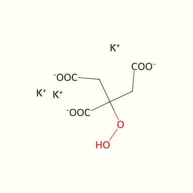 O=C([O-])CC(CC(=O)[O-])(OO)C(=O)[O-].[K+].[K+].[K+]